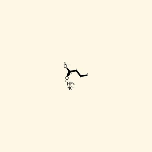 CCCC(=O)[O-].F.[K+]